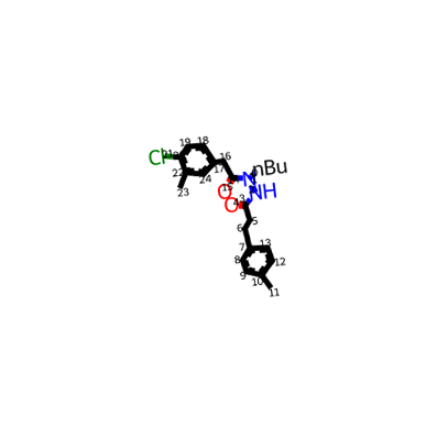 CCCCN(NC(=O)CCc1ccc(C)cc1)C(=O)Cc1ccc(Cl)c(C)c1